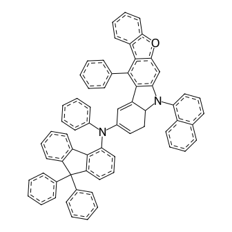 C1=C2c3c(cc4oc5ccccc5c4c3-c3ccccc3)N(c3cccc4ccccc34)C2CC=C1N(c1ccccc1)c1cccc2c1-c1ccccc1C2(c1ccccc1)c1ccccc1